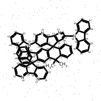 CC1(C)c2ccccc2C2(c3cc4c(cc31)C1(c3ccccc3-4)c3cccnc3-c3ncccc31)c1cc(-n3c4ccccc4c4ccccc43)cnc1-c1ncc(-n3c4ccccc4c4ccccc43)cc12